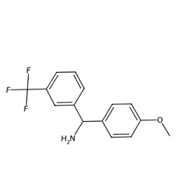 COc1ccc(C(N)c2cccc(C(F)(F)F)c2)cc1